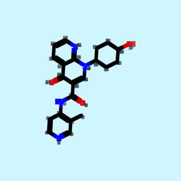 Cc1cnccc1NC(=O)c1cn(C2CCC(O)CC2)c2ncccc2c1=O